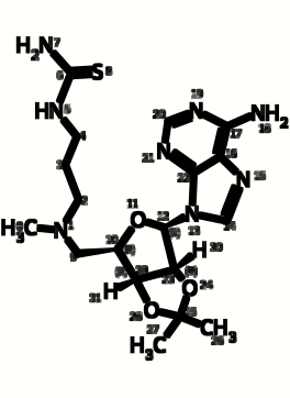 CN(CCCNC(N)=S)C[C@H]1O[C@@H](n2cnc3c(N)ncnc32)[C@@H]2OC(C)(C)O[C@@H]21